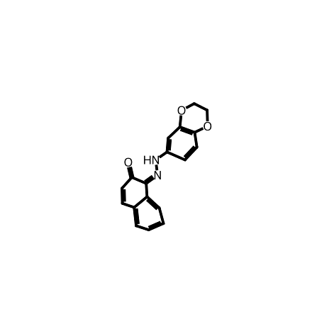 O=C1C=Cc2ccccc2C1=NNc1ccc2c(c1)OCCO2